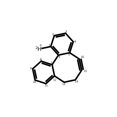 [2H]c1cccc2c1-c1ccccc1CCC#C2